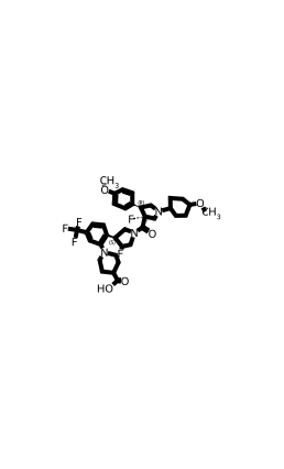 COc1ccc([C@@H]2CN(C3CCC(OC)CC3)C[C@@]2(F)C(=O)N2CC(F)[C@@H](c3ccc(C(F)(F)F)cc3N3CCC(C(=O)O)CC3)C2)cc1